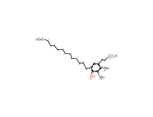 CCCCCCCCCCCCCCCCCCCCCCc1cc(CCC(=O)O)c(C(C)(C)C)c(C(C)(C)C)c1O